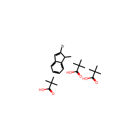 CC(C)(C)C(=O)O.CC(C)(C)C(=O)O.CC(C)(C)C(=O)O.CC1[C]([Zr])=Cc2ccccc21